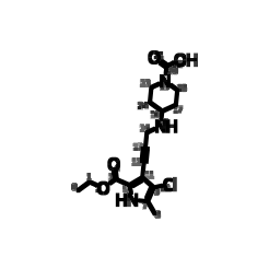 CCOC(=O)c1[nH]c(C)c(Cl)c1C#CCNC1CCN(C(=O)O)CC1